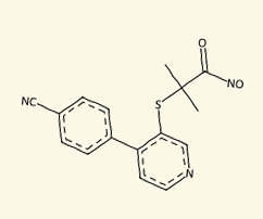 CC(C)(Sc1cnccc1-c1ccc(C#N)cc1)C(=O)N=O